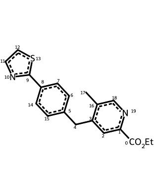 CCOC(=O)c1cc(Cc2ccc(-c3nccs3)cc2)c(C)cn1